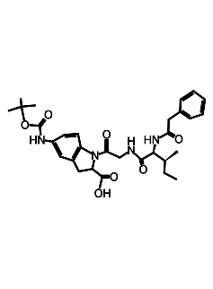 CC[C@H](C)[C@H](NC(=O)Cc1ccccc1)C(=O)NCC(=O)N1c2ccc(NC(=O)OC(C)(C)C)cc2CC1C(=O)O